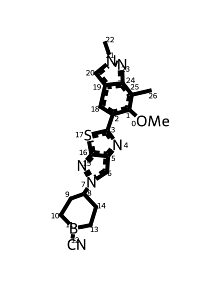 COc1c(-c2nc3cn(C4CCB(C#N)CC4)nc3s2)cc2cn(C)nc2c1C